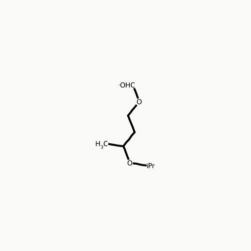 CC(C)OC(C)CCO[C]=O